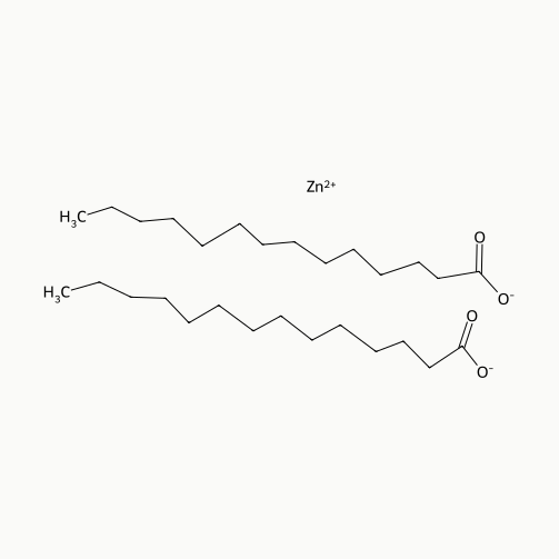 CCCCCCCCCCCCCC(=O)[O-].CCCCCCCCCCCCCC(=O)[O-].[Zn+2]